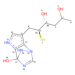 CC(O)C[C@@H](O)[C@@H](S)Cc1c[nH]c2c1N1C=NC2(O)N1